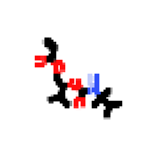 C=CC(=O)OCC(OC(=O)NC(C)(C)C(C)C)C(C)C